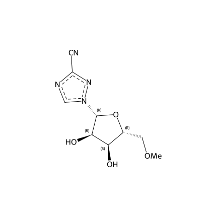 COC[C@H]1O[C@@H](n2cnc(C#N)n2)[C@H](O)[C@@H]1O